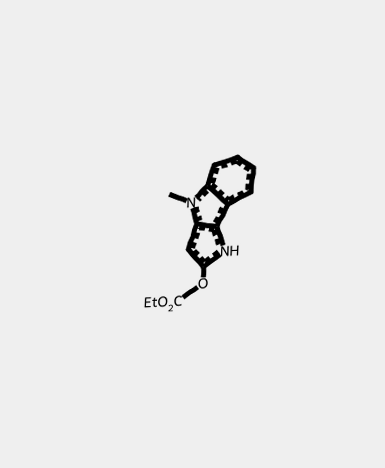 CCOC(=O)Oc1cc2c([nH]1)c1ccccc1n2C